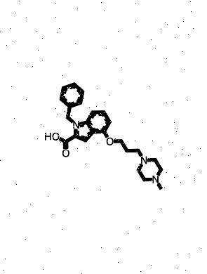 CN1CCN(CCCOc2cccc3c2cc(C(=O)O)n3Cc2ccccc2)CC1